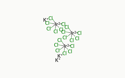 [Cl][Ir-2]([Cl])([Cl])([Cl])([Cl])[Cl].[Cl][Ir-2]([Cl])([Cl])([Cl])([Cl])[Cl].[Cl][Ir-2]([Cl])([Cl])([Cl])([Cl])[Cl].[K+].[K+].[K+]